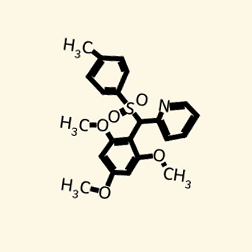 COc1cc(OC)c(C(c2ccccn2)S(=O)(=O)c2ccc(C)cc2)c(OC)c1